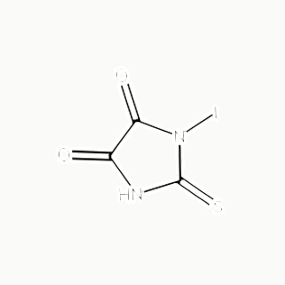 O=C1NC(=S)N(I)C1=O